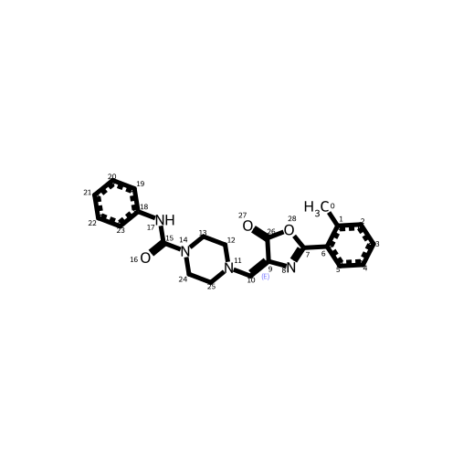 Cc1ccccc1C1=N/C(=C/N2CCN(C(=O)Nc3ccccc3)CC2)C(=O)O1